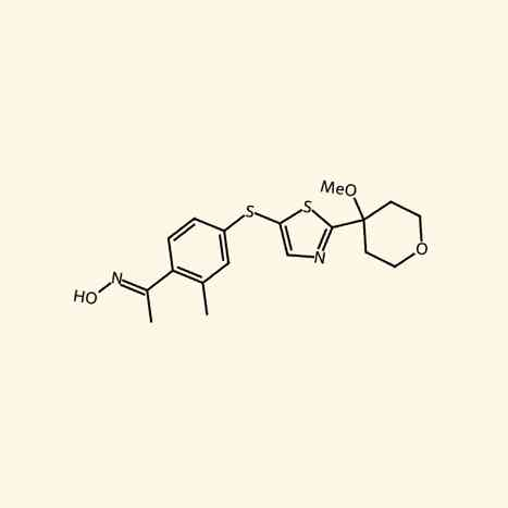 COC1(c2ncc(Sc3ccc(/C(C)=N/O)c(C)c3)s2)CCOCC1